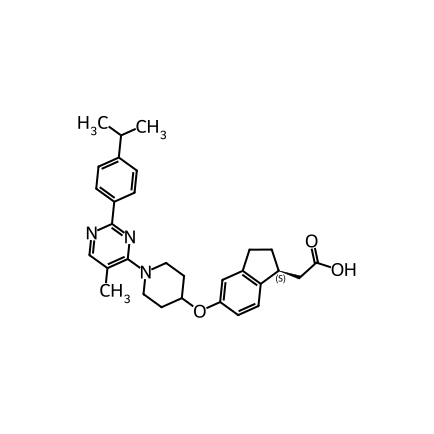 Cc1cnc(-c2ccc(C(C)C)cc2)nc1N1CCC(Oc2ccc3c(c2)CC[C@H]3CC(=O)O)CC1